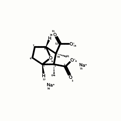 C[C@]1(C(=O)[O-])[C@@H]2CC[C@@H](O2)[C@@]1(C)C(=O)[O-].[Na+].[Na+]